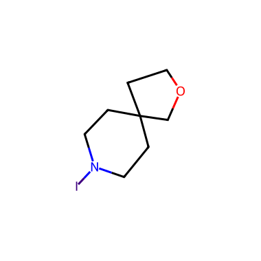 IN1CCC2(CCOC2)CC1